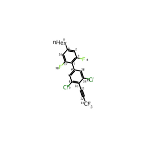 CCCCCCc1cc(F)c(-c2cc(Cl)c(C#CC(F)(F)F)c(Cl)c2)c(F)c1